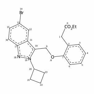 CCOC(=O)Cc1ccccc1OCc1c2cc(Br)ccc2nn1C1CCC1